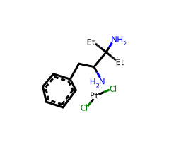 CCC(N)(CC)C(N)Cc1ccccc1.[Cl][Pt][Cl]